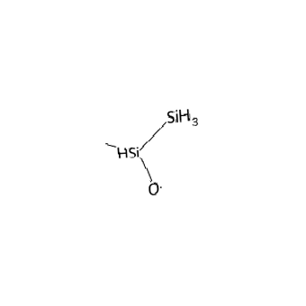 C[SiH]([O])[SiH3]